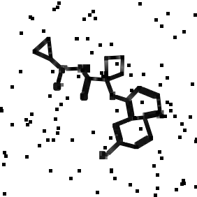 O=C(N[S+]([O-])C1CC1)C1(Sc2ccnc3ccc(Br)cc23)CCC1